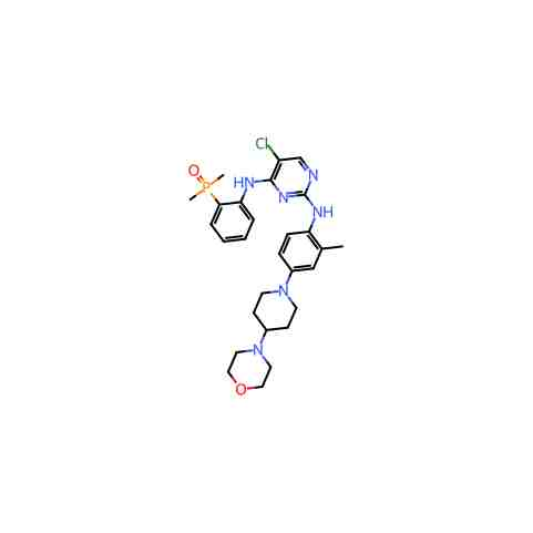 Cc1cc(N2CCC(N3CCOCC3)CC2)ccc1Nc1ncc(Cl)c(Nc2ccccc2P(C)(C)=O)n1